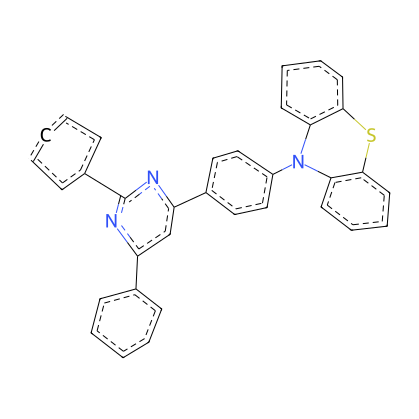 c1ccc(-c2cc(-c3ccc(N4c5ccccc5Sc5ccccc54)cc3)nc(-c3ccccc3)n2)cc1